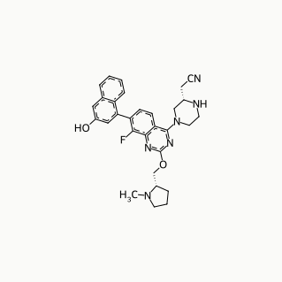 CN1CCC[C@H]1COc1nc(N2CCN[C@@H](CC#N)C2)c2ccc(-c3cc(O)cc4ccccc34)c(F)c2n1